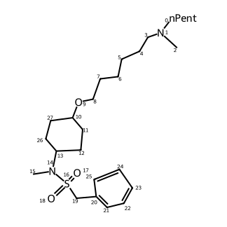 CCCCCN(C)CCCCCCOC1CCC(N(C)S(=O)(=O)Cc2ccccc2)CC1